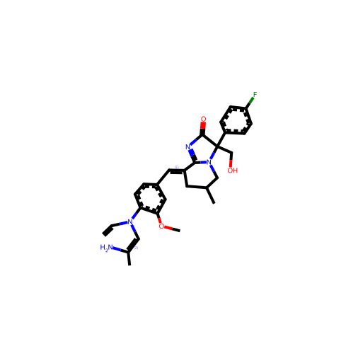 C=CN(/C=C(/C)N)c1ccc(/C=C2\CC(C)CN3C2=NC(=O)C3(CO)c2ccc(F)cc2)cc1OC